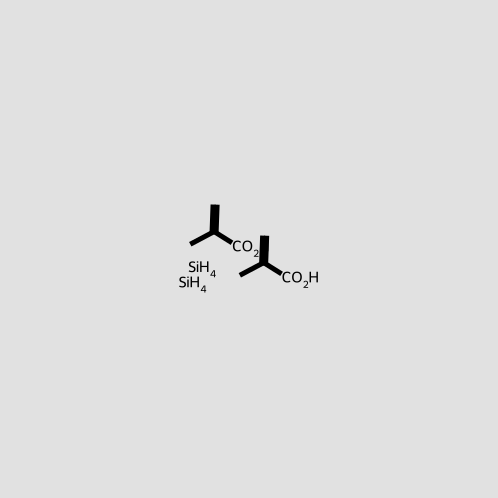 C=C(C)C(=O)O.C=C(C)C(=O)O.[SiH4].[SiH4]